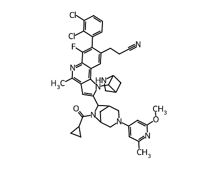 COc1cc(N2CC3CC(C2)N(C(=O)C2CC2)C3c2cc3c(C)nc4c(F)c(-c5cccc(Cl)c5Cl)c(CCC#N)cc4c3n2C2C3CNC2C3)cc(C)n1